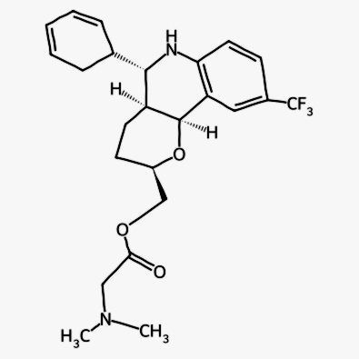 CN(C)CC(=O)OC[C@H]1CC[C@@H]2[C@H](O1)c1cc(C(F)(F)F)ccc1N[C@H]2C1C=CC=CC1